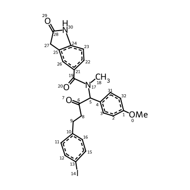 COc1ccc(C(C(=O)CCc2ccc(I)cc2)N(C)C(=O)c2ccc3c(c2)CC(=O)N3)cc1